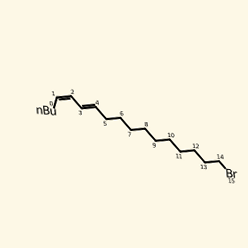 CCCC/C=C\C=C\CCCCCCCCCCBr